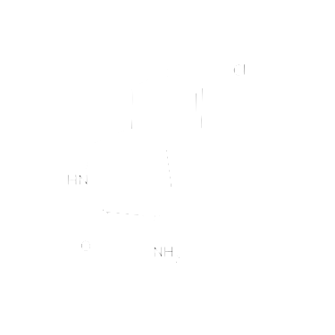 N[C@H]1Cc2cc(Cl)ccc2CNC1=O